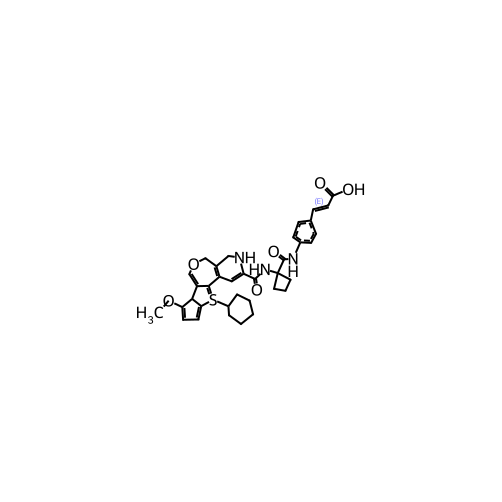 COC1=CC=C2C1C1=COCC3=C(C=C(C(=O)NC4(C(=O)Nc5ccc(/C=C/C(=O)O)cc5)CCC4)NC3)C1=S2C1CCCCC1